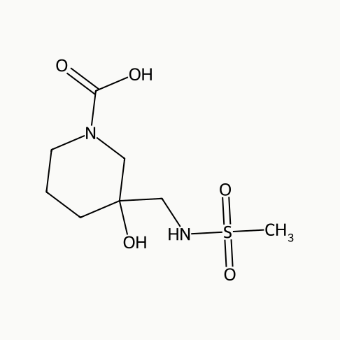 CS(=O)(=O)NCC1(O)CCCN(C(=O)O)C1